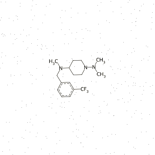 CN(Cc1cccc(C(F)(F)F)c1)C1CCN(N(C)C)CC1